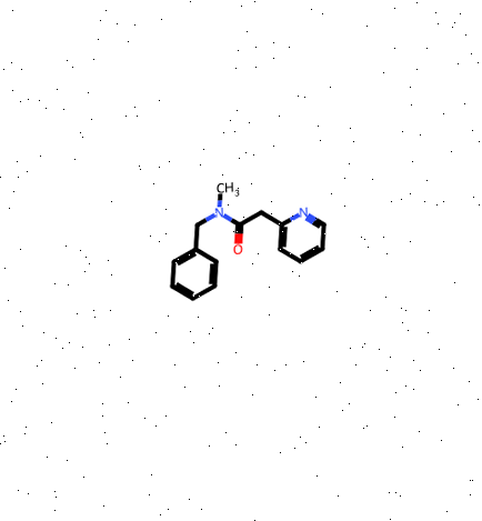 CN(Cc1ccccc1)C(=O)Cc1ccccn1